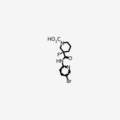 O=C(O)N1CCC[C@](F)(C(=O)Nc2ccc(Br)cn2)C1